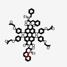 CCN(Cc1ccccc1)C(=O)C(Cc1ccccc1)N1C(=O)c2cc(Oc3ccc(OCC4CO4)cc3)c3c4c(Oc5ccc(OCC6CO6)cc5)cc5c6c(cc(Oc7ccc(OCC8CO8)cc7)c(c7c(Oc8ccc(OCC9CO9)cc8)cc(c2c37)C1=O)c64)C(=O)N(C(Cc1ccccc1)C(=O)N(CC)Cc1ccccc1)C5=O